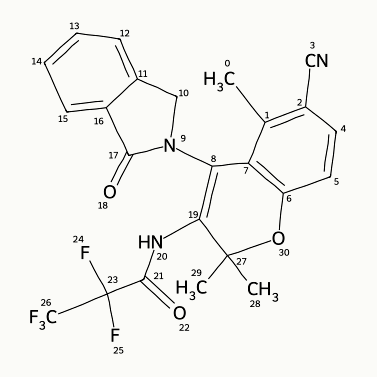 Cc1c(C#N)ccc2c1C(N1Cc3ccccc3C1=O)=C(NC(=O)C(F)(F)C(F)(F)F)C(C)(C)O2